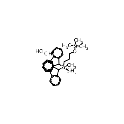 C[Si](C)(C)OCC[CH2][Zr]([CH3])(=[SiH2])([CH]1c2ccccc2-c2ccccc21)[CH]1c2ccccc2-c2ccccc21.Cl.Cl